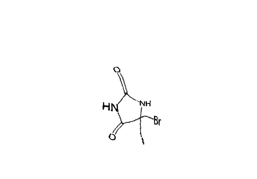 O=C1NC(=O)C(Br)(I)N1